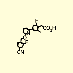 Cc1cc(-c2cccc(OCc3ccc(C#N)cc3F)n2)cc(F)c1CC(=O)O